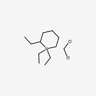 CCC1CCCC[Si]1(CC)CC.ClCCl